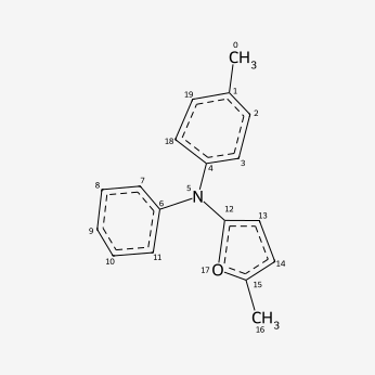 Cc1ccc(N(c2ccccc2)c2ccc(C)o2)cc1